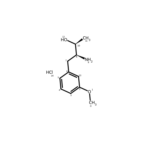 COc1cccc(C[C@H](N)[C@H](C)O)c1.Cl